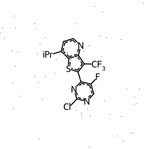 CC(C)c1ccnc2c(C(F)(F)F)c(-c3nc(Cl)ncc3F)sc12